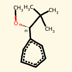 CO[C@@H](c1ccccc1)C(C)(C)C